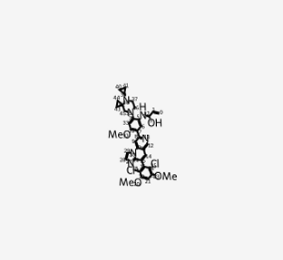 C=CC(O)Nc1cc(-c2cc3c(cn2)cc(-c2c(Cl)c(OC)cc(OC)c2Cl)c2nccn23)c(OC)cc1N1CCN(C2CC2)C2(CC2)C1